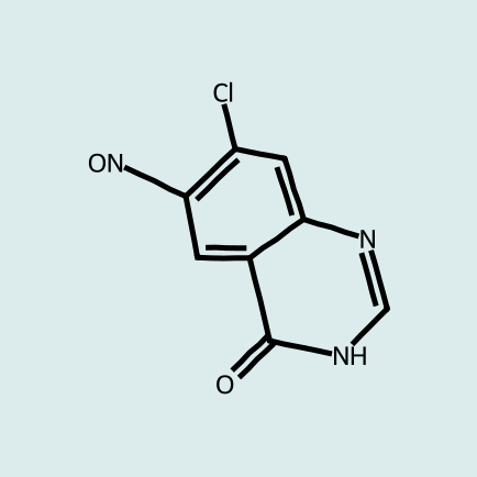 O=Nc1cc2c(=O)[nH]cnc2cc1Cl